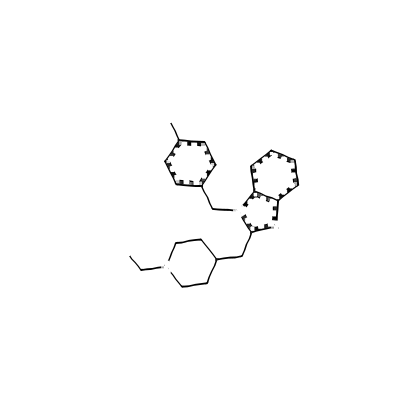 Cl.Cl.O=C(O)CN1CCC(Cc2nc3ccccc3n2Cc2ccc(F)cc2)CC1